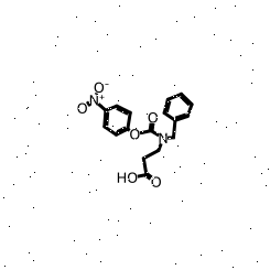 O=C(O)CCN(Cc1ccccc1)C(=O)Oc1ccc([N+](=O)[O-])cc1